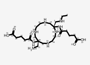 CCNC[C@]1(NC(=O)CCCC(=O)O)CNCCNC[C@@](CN)(NC(=O)CCCC(=O)O)CNCCN1